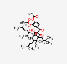 C=C(C)C(CC=C(C)C)CC12CC(CC=C(C)C)C(C)(C)C(CC=C(C)C)(C(=O)C(C(=O)c3ccc(OC(=O)CCC)c(OC(=O)CCC)c3)=C1O)C2=O